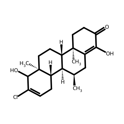 C[C@@H]1CC2=C(O)C(=O)CC[C@]2(C)[C@H]2CC[C@]3(C)C(O)C(Cl)=CC[C@H]3[C@H]12